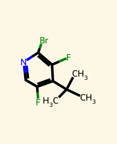 CC(C)(C)c1c(F)cnc(Br)c1F